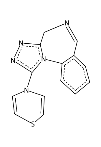 C1=CN(c2nnc3n2-c2ccccc2C=NC3)C=CS1